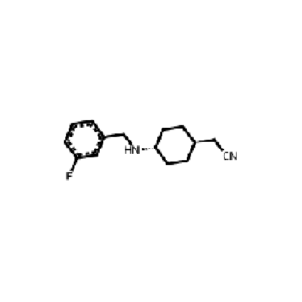 N#CC[C@H]1CC[C@H](NCc2cccc(F)c2)CC1